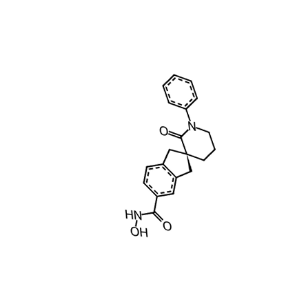 O=C(NO)c1ccc2c(c1)C[C@@]1(CCCN(c3ccccc3)C1=O)C2